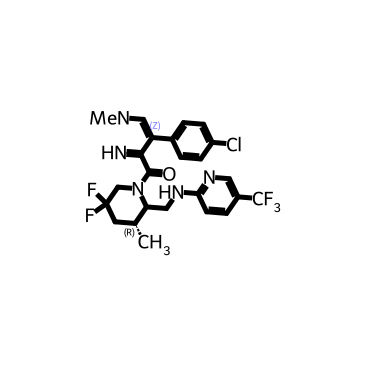 CN/C=C(\C(=N)C(=O)N1CC(F)(F)C[C@@H](C)C1CNc1ccc(C(F)(F)F)cn1)c1ccc(Cl)cc1